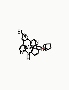 CCn1cc(-c2ccnc(Nc3ccc(N4CC5CCC(C4)N5CCOC)cc3)n2)c(-c2cccnc2)n1